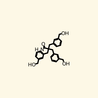 NC(=O)C(Cc1cccc(CO)c1)(Cc1cccc(CO)c1)Cc1cccc(CO)c1